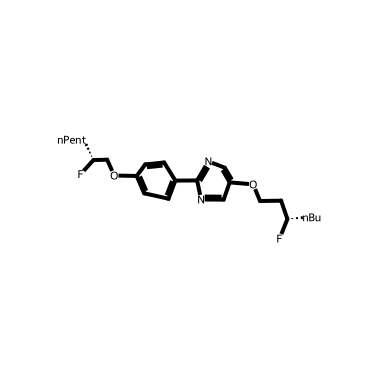 CCCCC[C@@H](F)COc1ccc(-c2ncc(OCC[C@@H](F)CCCC)cn2)cc1